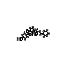 O=S(=O)(c1ccc(O)cc1)[C@@H]1CCN(C[C@@H](O)CCc2ccccc2)C1